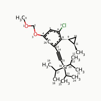 COCOc1cc(Cl)c([C@@H]2C[C@H]2C)c(C#C[Si](C(C)C)(C(C)C)C(C)C)c1